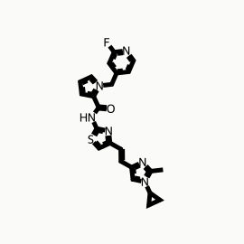 Cc1nc(/C=C/c2csc(NC(=O)c3cccn3Cc3ccnc(F)c3)n2)cn1C1CC1